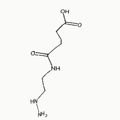 NNCCNC(=O)CCC(=O)O